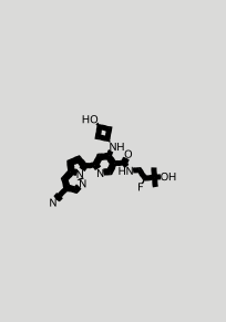 CC(C)(O)[C@H](F)CNC(=O)c1cnc(-c2ccc3cc(C#N)cnn23)cc1N[C@H]1C[C@H](O)C1